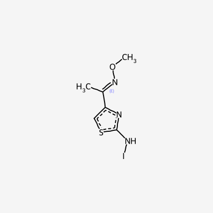 CO/N=C(\C)c1csc(NI)n1